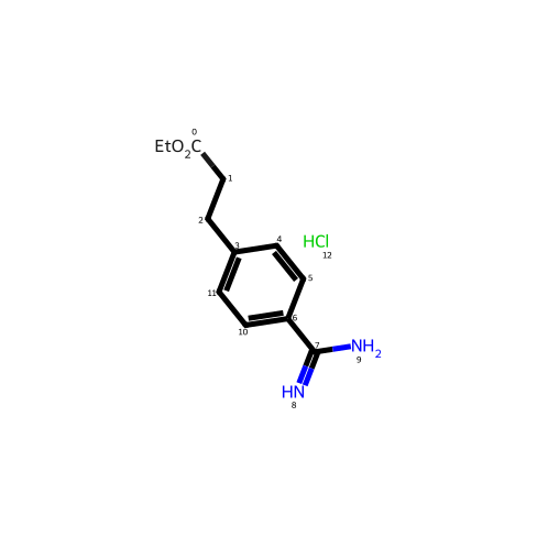 CCOC(=O)CCc1ccc(C(=N)N)cc1.Cl